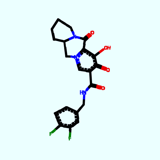 O=C(NCc1ccc(F)c(F)c1)c1cn2c(c(O)c1=O)C(=O)N1CCCCC1C2